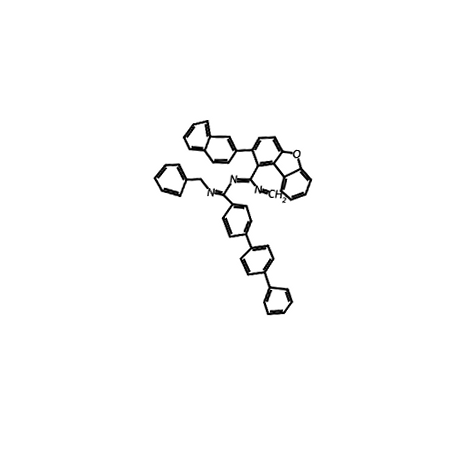 C=N/C(=N\C(=N/Cc1ccccc1)c1ccc(-c2ccc(-c3ccccc3)cc2)cc1)c1c(-c2ccc3ccccc3c2)ccc2oc3ccccc3c12